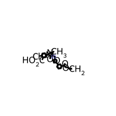 C=CCOC(=O)c1cccc(-c2ccc(/C=C3\C(=O)N(c4ccc(Cl)c(C(=O)O)c4)N=C3C)o2)c1